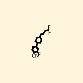 N#Cc1ccc(C2CCC(C=CCC(F)F)CC2)cc1F